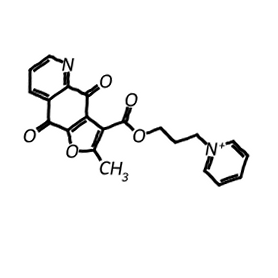 Cc1oc2c(c1C(=O)OCCC[n+]1ccccc1)C(=O)c1ncccc1C2=O